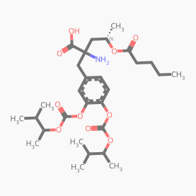 CCCCC(=O)O[C@@H](C)CC(N)(Cc1ccc(OC(=O)OC(C)C(C)C)c(OC(=O)OC(C)C(C)C)c1)C(=O)O